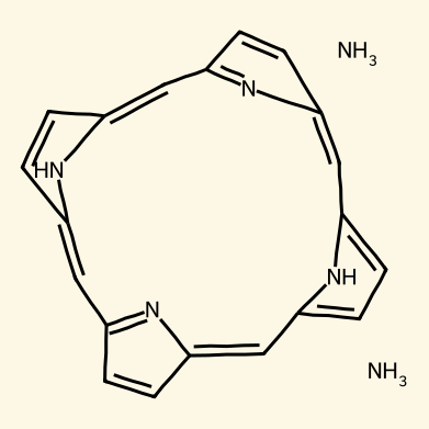 C1=Cc2cc3ccc(cc4nc(cc5ccc(cc1n2)[nH]5)C=C4)[nH]3.N.N